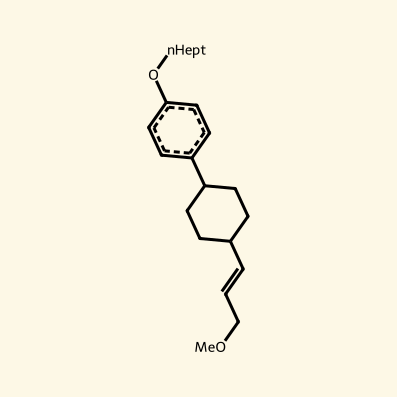 CCCCCCCOc1ccc(C2CCC(/C=C/COC)CC2)cc1